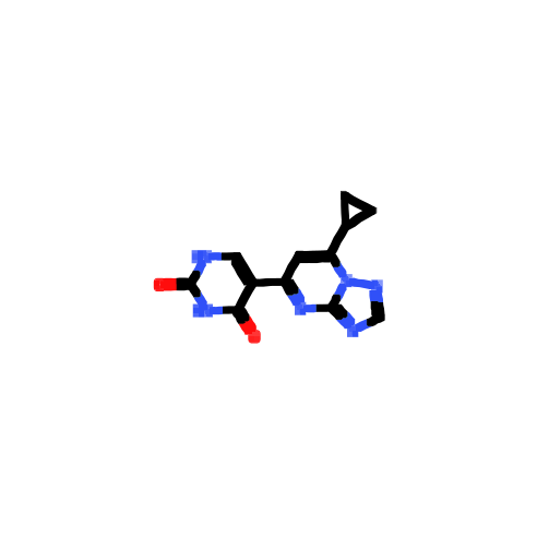 O=c1[nH]cc(-c2cc(C3CC3)n3ncnc3n2)c(=O)[nH]1